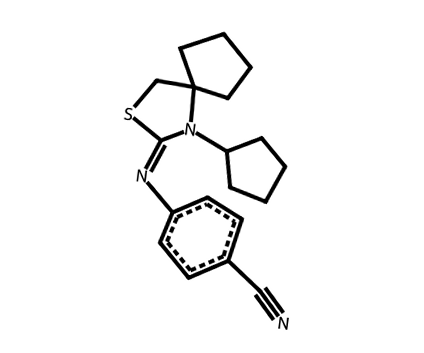 N#Cc1ccc(/N=C2/SCC3(CCCC3)N2C2CCCC2)cc1